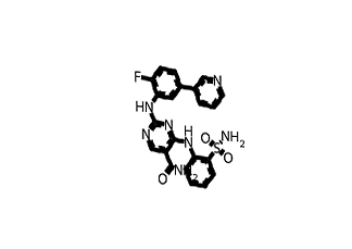 NC(=O)c1cnc(Nc2cc(-c3cccnc3)ccc2F)nc1Nc1ccccc1S(N)(=O)=O